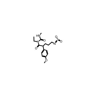 CCN(C(=O)NC)C(=O)C(CCCN=S(=O)=O)c1ccc(OC)cc1